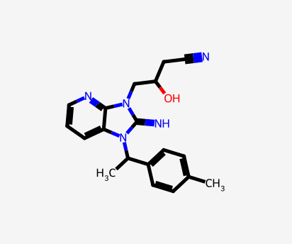 Cc1ccc(C(C)n2c(=N)n(CC(O)CC#N)c3ncccc32)cc1